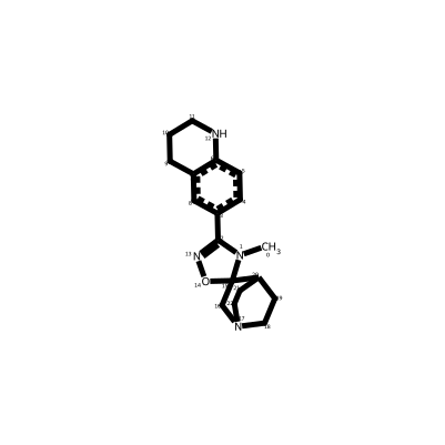 CN1C(c2ccc3c(c2)CCCN3)=NOC12CN1CCC2CC1